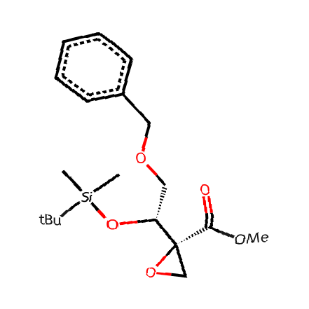 COC(=O)[C@]1([C@@H](COCc2ccccc2)O[Si](C)(C)C(C)(C)C)CO1